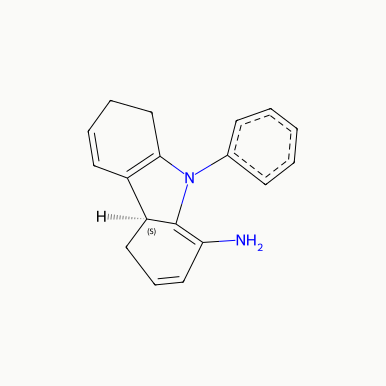 NC1=C2[C@@H](CC=C1)C1=C(CCC=C1)N2c1ccccc1